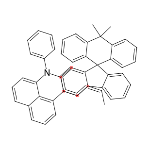 C=C(/C=C\C=C/C)N(c1ccccc1)c1cccc2cccc(-c3ccc4c(c3)-c3ccccc3C43c4ccccc4C(C)(C)c4ccccc43)c12